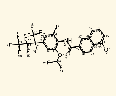 O=C(Nc1c(I)cc(C(F)(C(F)(F)F)C(F)(F)C(F)(F)F)cc1OC(F)F)c1ccc2c(ccc[n+]2[O-])c1